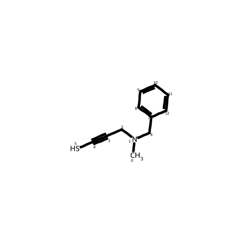 CN(CC#CS)Cc1ccccc1